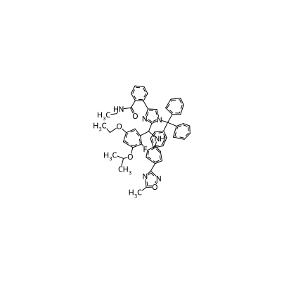 CCNC(=O)c1ccccc1-c1cn(C(c2ccccc2)(c2ccccc2)c2ccccc2)c(C(Nc2ccc(-c3noc(C)n3)cc2)c2cc(OCC)cc(OC(C)C)c2F)n1